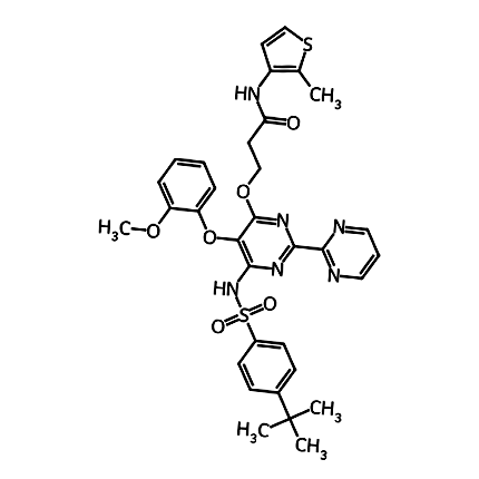 COc1ccccc1Oc1c(NS(=O)(=O)c2ccc(C(C)(C)C)cc2)nc(-c2ncccn2)nc1OCCC(=O)Nc1ccsc1C